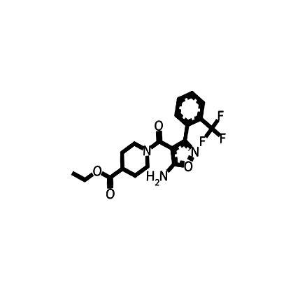 CCOC(=O)C1CCN(C(=O)c2c(-c3ccccc3C(F)(F)F)noc2N)CC1